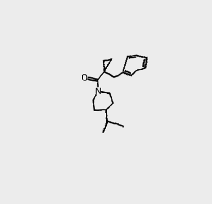 CC(C)C1CCN(C(=O)C2(Cc3ccccc3)CC2)CC1